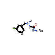 CN(CC(=O)NC(C)(C)C)Cc1cccc(F)c1